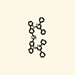 c1ccc(-c2cc(-c3ccccc3)nc(-n3c4ccccc4c4ccc(-c5nnc(-c6ccc7c8ccccc8n(-c8cc(-c9ccccc9)cc(-c9ccccc9)n8)c7c6)s5)cc43)c2)cc1